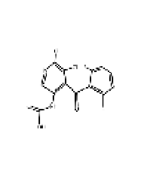 O=C(O)Nc1cnc(Cl)c(Cl)c1C(=O)c1c(F)cccc1F